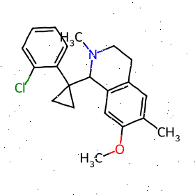 COc1cc2c(cc1C)CCN(C)C2C1(c2ccccc2Cl)CC1